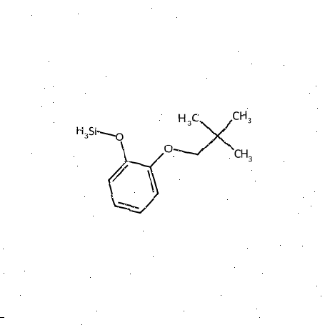 CC(C)(C)COc1ccccc1O[SiH3]